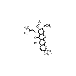 COc1cc2oc3cc4c(c(O)c3c(=O)c2c(CC=C(C)C)c1OC)C=CC(C)(C)O4